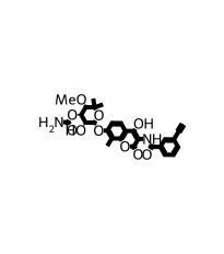 C#Cc1cccc(C(=O)Nc2c(O)c3ccc(O[C@@H]4OC(C)(C)[C@H](OC)[C@@H](OC(N)=O)[C@H]4O)c(C)c3oc2=O)c1